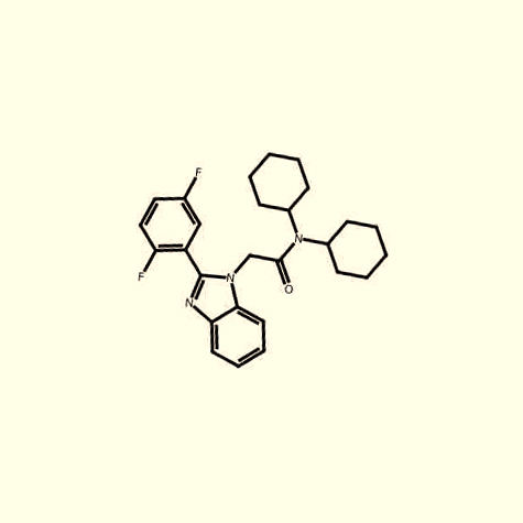 O=C(Cn1c(-c2cc(F)ccc2F)nc2ccccc21)N(C1CCCCC1)C1CCCCC1